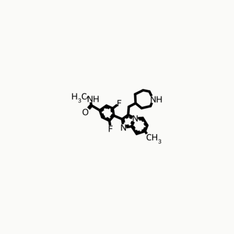 CNC(=O)c1cc(F)c(-c2nc3cc(C)ccn3c2CC2CCCNCC2)c(F)c1